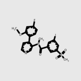 COc1cc(F)ccc1-c1ccncc1N(C)C(=O)c1cc(I)cc(S(C)(=O)=O)c1